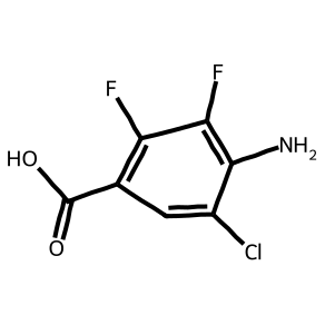 Nc1c(Cl)cc(C(=O)O)c(F)c1F